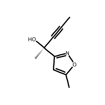 CC#C[C@](C)(O)c1cc(C)on1